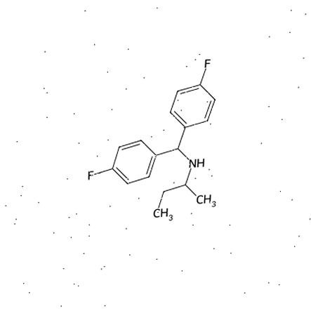 CCC(C)NC(c1ccc(F)cc1)c1ccc(F)cc1